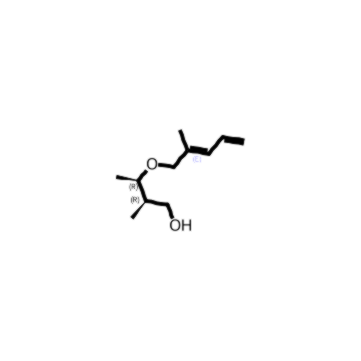 C=C/C=C(\C)CO[C@H](C)[C@H](C)CO